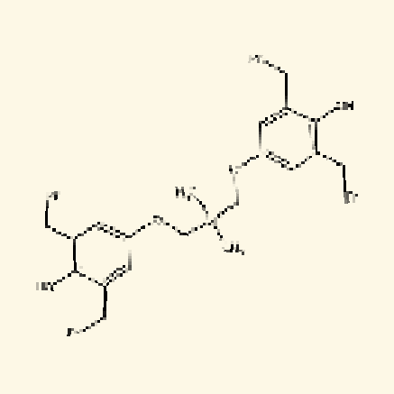 CC(C)Cc1cc(OC[Si](C)(C)COc2cc(CC(C)C)c(O)c(CC(C)C)c2)cc(CC(C)C)c1O